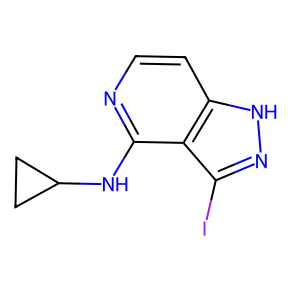 Ic1n[nH]c2ccnc(NC3CC3)c12